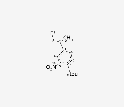 C[C](CF)c1ccc(C(C)(C)C)c([N+](=O)[O-])c1